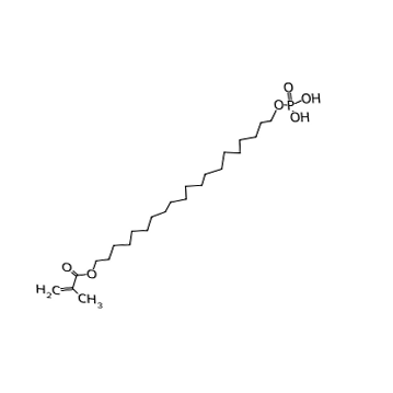 C=C(C)C(=O)OCCCCCCCCCCCCCCCCCCCCOP(=O)(O)O